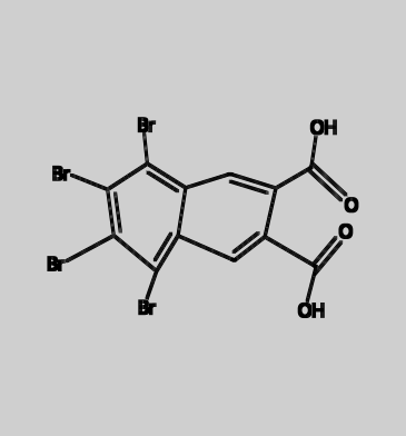 O=C(O)c1cc2c(Br)c(Br)c(Br)c(Br)c2cc1C(=O)O